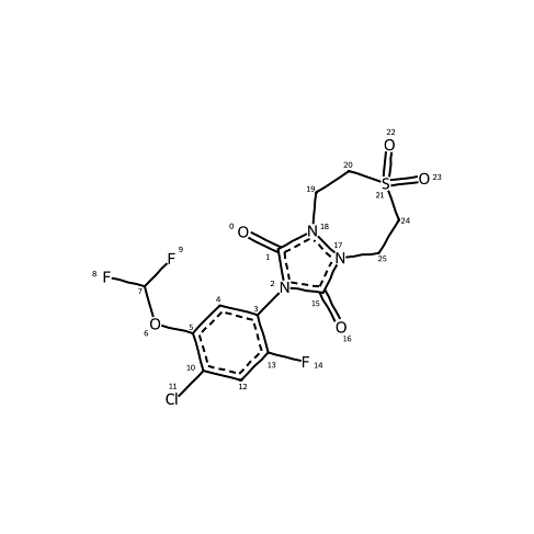 O=c1n(-c2cc(OC(F)F)c(Cl)cc2F)c(=O)n2n1CCS(=O)(=O)CC2